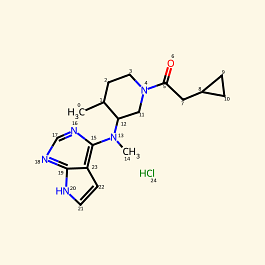 CC1CCN(C(=O)CC2CC2)CC1N(C)c1ncnc2[nH]ccc12.Cl